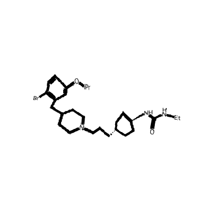 CCNC(=O)N[C@H]1CC[C@H](CCCN2CCC(Cc3cc(OC(C)C)ccc3Br)CC2)CC1